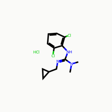 CN(C)C(=NCC1CC1)Nc1c(Cl)cccc1Cl.Cl